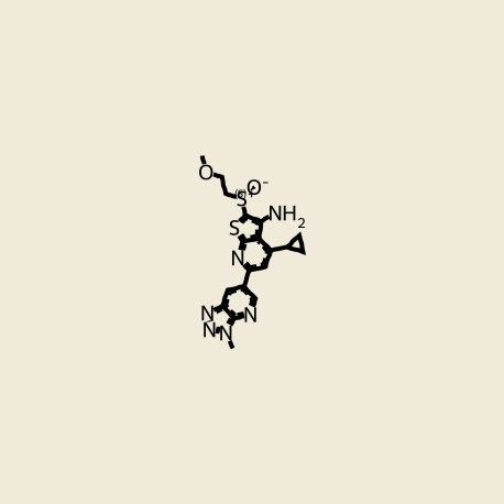 COCC[S@@+]([O-])c1sc2nc(-c3cnc4c(c3)nnn4C)cc(C3CC3)c2c1N